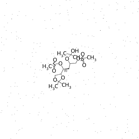 CC(C)(O)OC(COS(C)(=O)=O)C[C@H](OS(C)(=O)=O)C1COC(C)(C)O1